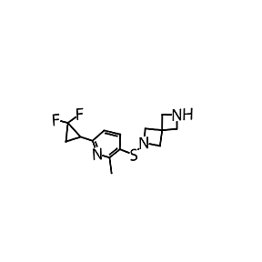 Cc1nc(C2CC2(F)F)ccc1SN1CC2(CNC2)C1